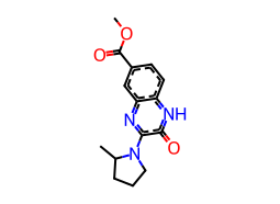 COC(=O)c1ccc2[nH]c(=O)c(N3CCCC3C)nc2c1